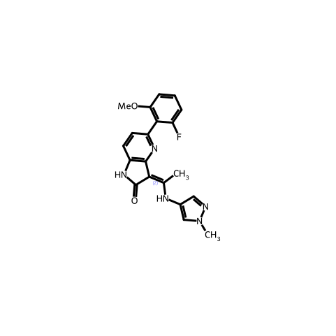 COc1cccc(F)c1-c1ccc2c(n1)/C(=C(\C)Nc1cnn(C)c1)C(=O)N2